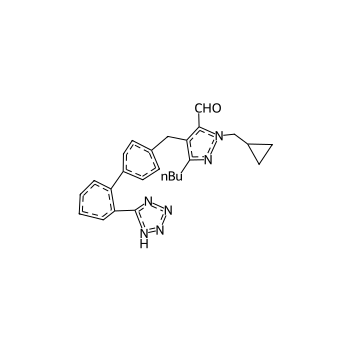 CCCCc1nn(CC2CC2)c(C=O)c1Cc1ccc(-c2ccccc2-c2nnn[nH]2)cc1